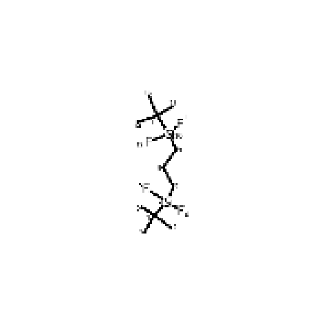 CC(C)(C)[Si](F)(F)CCC[Si](F)(F)C(C)(C)C